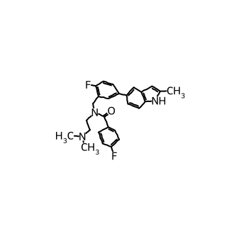 Cc1cc2cc(-c3ccc(F)c(CN(CCN(C)C)C(=O)c4ccc(F)cc4)c3)ccc2[nH]1